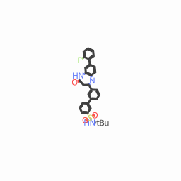 CC(C)(C)NS(=O)(=O)c1cccc(-c2cccc(C3=Nc4ccc(-c5ccccc5F)cc4NC(=O)C3)c2)c1